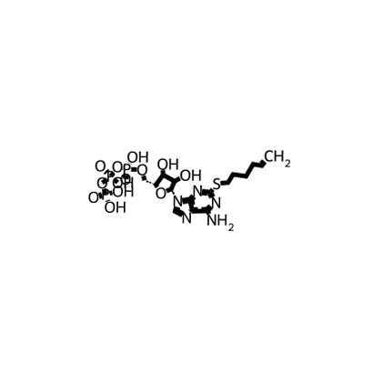 C=CCCCCSc1nc(N)c2ncn([C@@H]3O[C@H](COP(=O)(O)OP(=O)(O)OP(=O)(O)O)C(O)C3O)c2n1